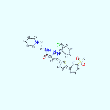 CS(=O)(=O)c1cccc(-c2ccc(-c3cc(C(=O)NCCN4CCCCC4)nn3-c3ccccc3Cl)s2)c1